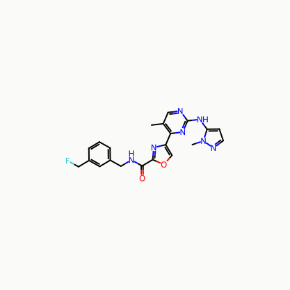 Cc1cnc(Nc2ccnn2C)nc1-c1coc(C(=O)NCc2cccc(CF)c2)n1